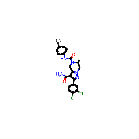 CC1Cn2nc(-c3ccc(Cl)c(Cl)c3)c(C(N)=O)c2CN1C(=O)Nc1ccc(C#N)cc1